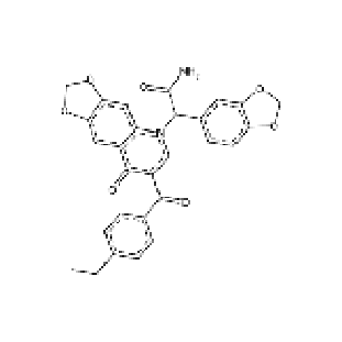 CCc1ccc(C(=O)c2cn(C(C(N)=O)c3ccc4c(c3)OCO4)c3cc4c(cc3c2=O)OCO4)cc1